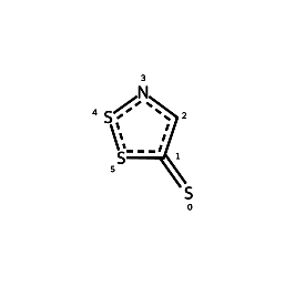 S=c1cnss1